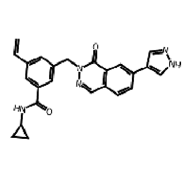 C=Cc1cc(Cn2ncc3ccc(-c4cn[nH]c4)cc3c2=O)cc(C(=O)NC2CC2)c1